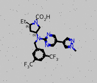 CC[C@@H]1C[C@H](N(Cc2cc(C(F)(F)F)cc(C(F)(F)F)c2)c2ncc(-c3cnn(C)c3)cn2)CN1C(=O)O